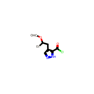 CCC(Cc1cn[nH]c1C(=O)Cl)OC=O